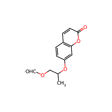 CC(CO[C]=O)Oc1ccc2ccc(=O)oc2c1